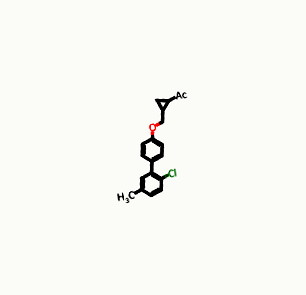 CC(=O)C1CC1COc1ccc(-c2cc(C)ccc2Cl)cc1